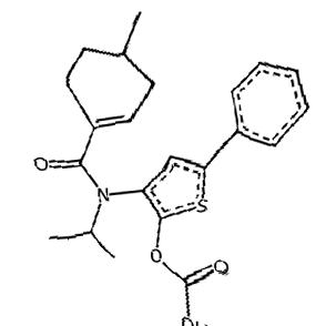 CC1CC=C(C(=O)N(c2cc(-c3ccccc3)sc2OC(=O)O)C(C)C)CC1